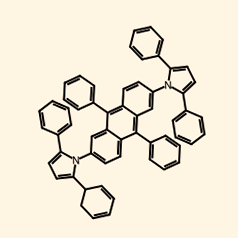 C1=CCC(c2ccc(-c3ccccc3)n2-c2ccc3c(-c4ccccc4)c4cc(-n5c(-c6ccccc6)ccc5-c5ccccc5)ccc4c(-c4ccccc4)c3c2)C=C1